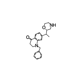 CC(c1ccc2c(c1)N(Cc1ccccc1)CCC2=O)C1CNCCO1